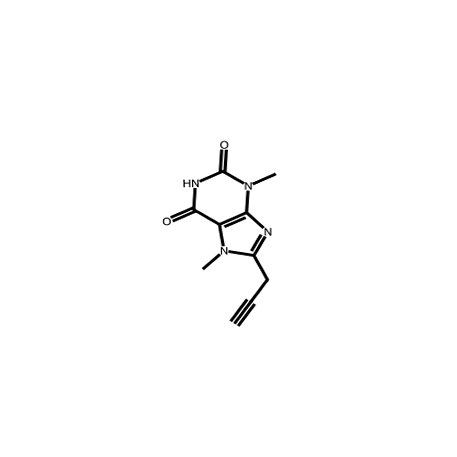 C#CCc1nc2c(c(=O)[nH]c(=O)n2C)n1C